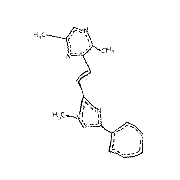 Cc1cnc(C)c(/C=C/c2nc(-c3ccccc3)cn2C)n1